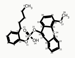 CCCCCc1ccccc1OP(=O)(O)OC1=Cc2ccccc2Sc2c(OC)cccc21